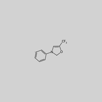 FC(F)(F)C1=CN(c2c[c]ccc2)CO1